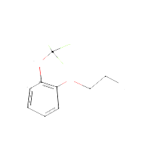 CCCOc1ccc[c]c1OC(F)(F)F